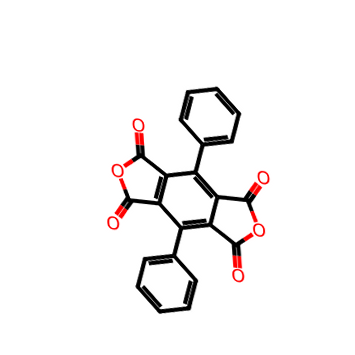 O=c1oc(=O)c2c(-c3ccccc3)c3c(=O)oc(=O)c3c(-c3ccccc3)c12